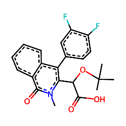 Cn1c(C(OC(C)(C)C)C(=O)O)c(-c2ccc(F)c(F)c2)c2ccccc2c1=O